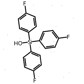 O[Si](c1ccc(F)cc1)(c1ccc(F)cc1)c1ccc(F)cc1